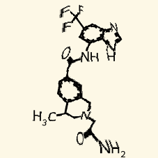 CC1CN(CC(N)=O)Cc2cc(C(=O)Nc3cc(C(F)(F)F)cc4nc[nH]c34)ccc21